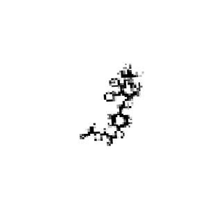 CC(C)OCC(C)Oc1ccc(COc2cnn(C(C)(C)C)c(=O)c2Cl)cc1